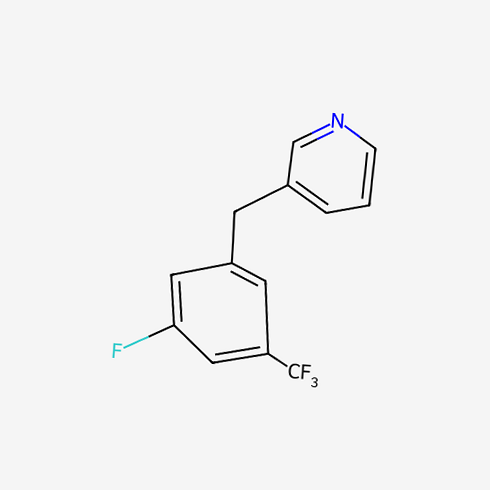 Fc1cc(Cc2cccnc2)cc(C(F)(F)F)c1